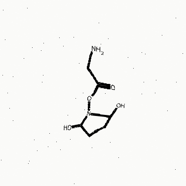 NCC(=O)ON1C(O)CCC1O